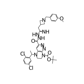 COc1ccc(CN2CC(CC(=N)NNC(=O)c3cc4c(nn3)N(C(=O)OC(C)(C)C)CCN4C(C)c3cc(Cl)ccc3Cl)C2)cc1